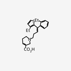 CCc1ccccc1C(=CCCN1CCC=C(C(=O)O)C1)c1sccc1CC